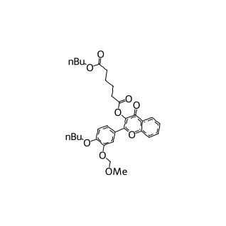 CCCCOC(=O)CCCCC(=O)Oc1c(-c2ccc(OCCCC)c(OCOC)c2)oc2ccccc2c1=O